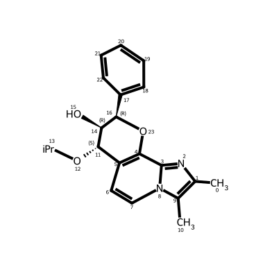 Cc1nc2c3c(ccn2c1C)[C@H](OC(C)C)[C@@H](O)[C@@H](c1ccccc1)O3